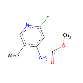 COC=O.COc1cnc(F)cc1N